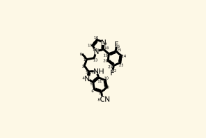 CC(Cc1nc2cc(C#N)ccc2[nH]1)Cn1ccnc1-c1cc(F)ccc1F